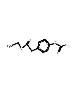 CCOC(=O)Cc1ccc(NC(C)=O)cc1